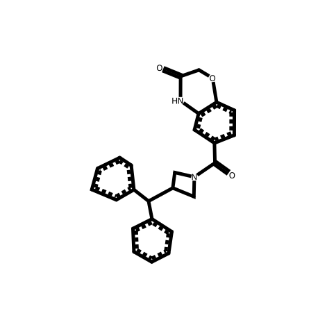 O=C1COc2ccc(C(=O)N3CC(C(c4ccccc4)c4ccccc4)C3)cc2N1